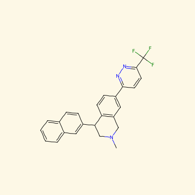 CN1Cc2cc(-c3ccc(C(F)(F)F)nn3)ccc2C(c2ccc3ccccc3c2)C1